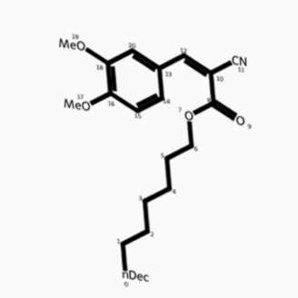 CCCCCCCCCCCCCCCCOC(=O)C(C#N)=Cc1ccc(OC)c(OC)c1